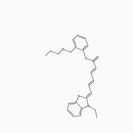 C=C(/C=C/C=C/C=C1\Sc2ccccc2N1CC)Sc1ccccc1COCCC